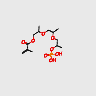 C=C(C)C(=O)OCC(C)OCC(C)OCC(C)OP(=O)(O)O